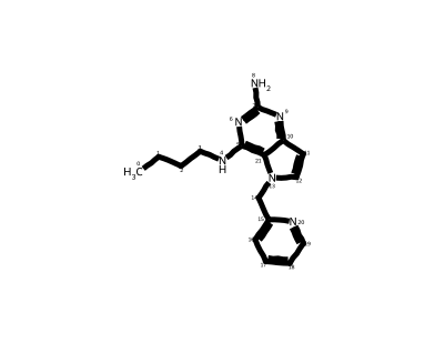 CCCCNc1nc(N)nc2ccn(Cc3ccccn3)c12